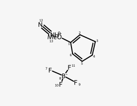 COc1ccccc1.F[B-](F)(F)F.N#[NH+]